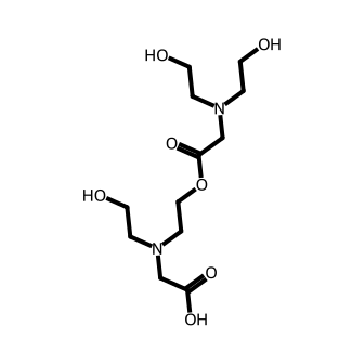 O=C(O)CN(CCO)CCOC(=O)CN(CCO)CCO